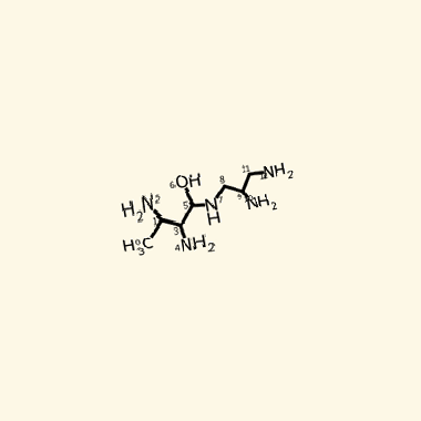 CC(N)C(N)C(O)NCC(N)CN